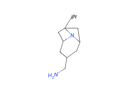 CC(C)C12CC3CC(CN)CC(C1)N32